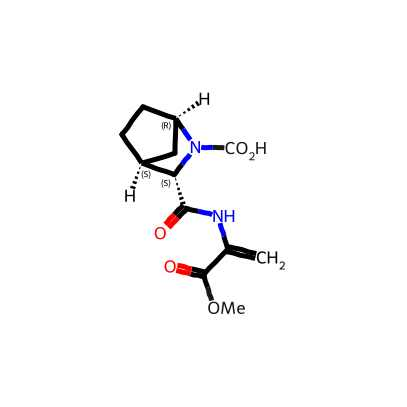 C=C(NC(=O)[C@@H]1[C@H]2CC[C@H](C2)N1C(=O)O)C(=O)OC